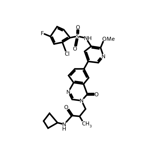 COc1ncc(-c2ccc3ncn(CC(C)C(=O)NC4CCC4)c(=O)c3c2)cc1NS(=O)(=O)c1ccc(F)cc1Cl